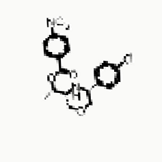 C[C@H](OC(=O)c1ccc([N+](=O)[O-])cc1)[C@H]1COC[C@@H](c2ccc(Cl)cc2)N1